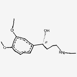 CNCC[C@@H](O)c1ccc(OC)c(OC)c1